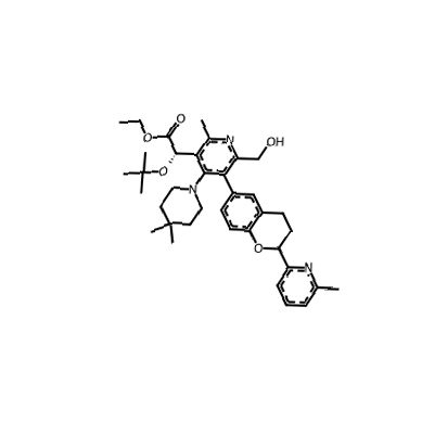 CCOC(=O)[C@@H](OC(C)(C)C)c1c(C)nc(CO)c(-c2ccc3c(c2)CCC(c2cccc(C)n2)O3)c1N1CCC(C)(C)CC1